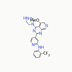 COc1cncc2nc(-c3ccnc(Nc4ccccc4C(F)(F)F)c3)nc(N3CCNCC3)c12